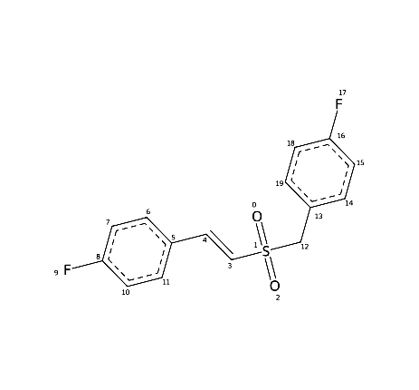 O=S(=O)(/C=C/c1ccc(F)cc1)Cc1ccc(F)cc1